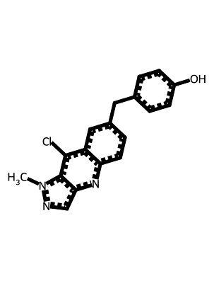 Cn1ncc2nc3ccc(Cc4ccc(O)cc4)cc3c(Cl)c21